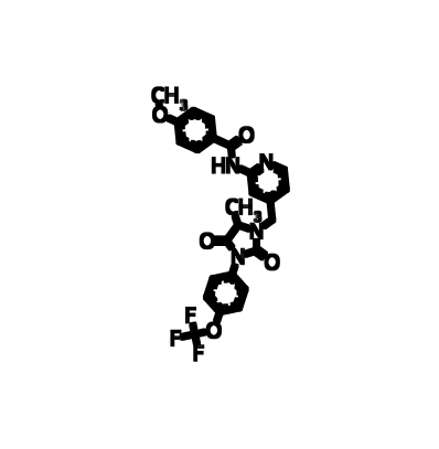 COc1ccc(C(=O)Nc2cc(CN3C(=O)N(c4ccc(OC(F)(F)F)cc4)C(=O)C3C)ccn2)cc1